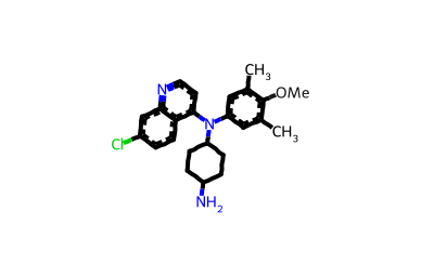 COc1c(C)cc(N(c2ccnc3cc(Cl)ccc23)C2CCC(N)CC2)cc1C